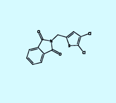 O=C1c2ccccc2C(=O)N1Cc1cc(Cl)c(Cl)s1